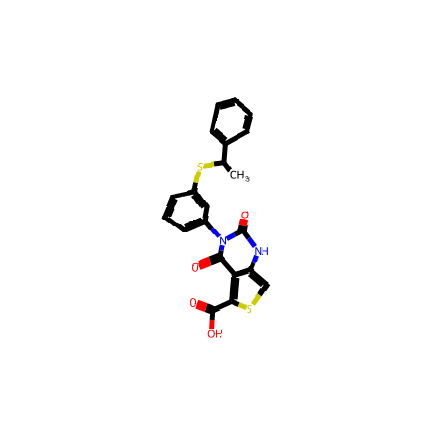 CC(Sc1cccc(-n2c(=O)[nH]c3csc(C(=O)O)c3c2=O)c1)c1ccccc1